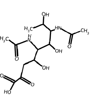 CC(=O)NC(C(C)O)C(O)C(NC(C)=O)C(O)CC(=O)C(=O)O